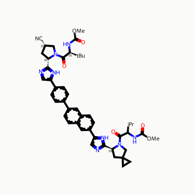 COC(=O)NC(C(=O)N1CC2(CC2)C[C@H]1c1ncc(-c2ccc3cc(-c4ccc(-c5cnc([C@@H]6C[C@H](C#N)CN6C(=O)[C@@H](NC(=O)OC)C(C)(C)C)[nH]5)cc4)ccc3c2)[nH]1)C(C)C